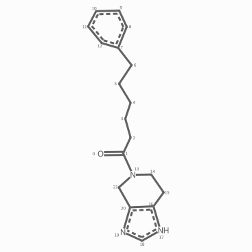 O=C(CCCCCc1ccccc1)N1CCc2[nH]cnc2C1